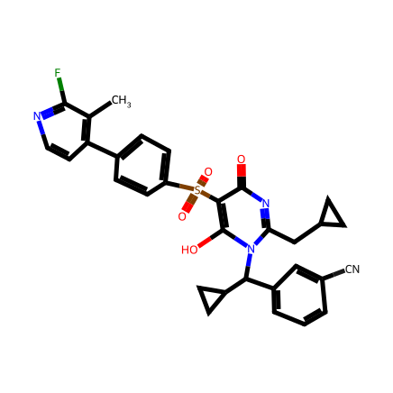 Cc1c(-c2ccc(S(=O)(=O)c3c(O)n(C(c4cccc(C#N)c4)C4CC4)c(CC4CC4)nc3=O)cc2)ccnc1F